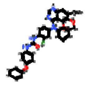 COc1cc2ncnc(N(c3ccccc3)c3ccc(NC(=O)Nc4ccc(Oc5ccccc5)cc4)c(Cl)c3)c2c2c1OCCO2